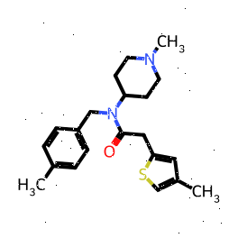 Cc1ccc(CN(C(=O)Cc2cc(C)cs2)C2CCN(C)CC2)cc1